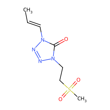 C/C=C/n1nnn(CCS(C)(=O)=O)c1=O